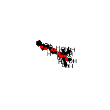 O=C(O)CNC(CN(CC(NCC(=O)O)NCC(=O)O)C(CCC(=O)NCC1CCC(C(=O)N[C@@H](Cc2ccc(-c3ccccc3)cc2)C(=O)O)CC1)P(=O)(O)O)NCC(=O)O